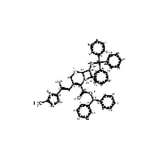 Cc1nnc(C(S)=CC2=C(C(=O)OC(c3ccccc3)c3ccccc3)N3C(=O)C(NC(c4ccccc4)(c4ccccc4)c4ccccc4)C3OC2)s1